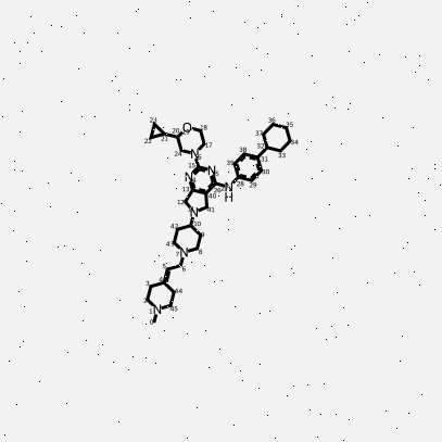 CN1CCC(=CCN2CCC(N3Cc4nc(N5CCOC(C6CC6)C5)nc(Nc5ccc(C6CCCCC6)cc5)c4C3)CC2)CC1